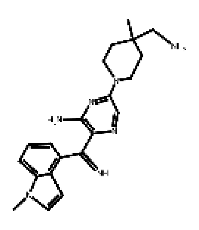 Cn1ccc2c(C(=N)c3ncc(N4CCC(C)(CN)CC4)nc3N)cccc21